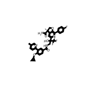 Cc1ccc(-c2cc(C(=O)NCC(O)(c3cc4c(c(-c5ccc(F)cc5)n3)OC[C@]4(C)C(N)=O)C(F)(F)F)ccc2OC2CC2)nc1